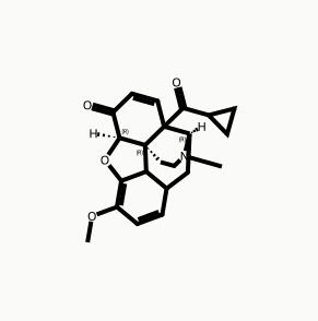 COC1=C2O[C@H]3C(=O)C=CC4(C(=O)C5CC5)[C@H]5CC(C=C1)C2[C@@]34CCN5C